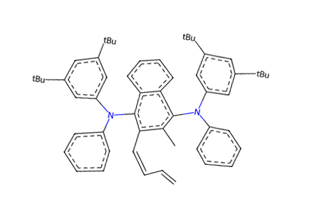 C=C/C=C\c1c(C)c(N(c2ccccc2)c2cc(C(C)(C)C)cc(C(C)(C)C)c2)c2ccccc2c1N(c1ccccc1)c1cc(C(C)(C)C)cc(C(C)(C)C)c1